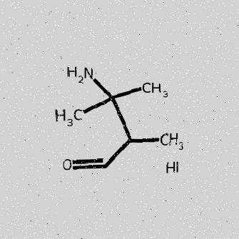 CC(C=O)C(C)(C)N.I